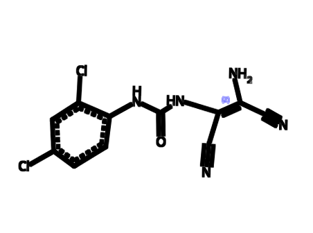 N#C/C(N)=C(\C#N)NC(=O)Nc1ccc(Cl)cc1Cl